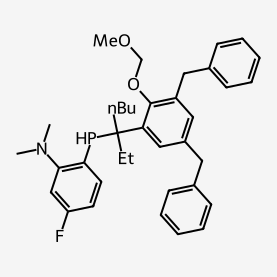 CCCCC(CC)(Pc1ccc(F)cc1N(C)C)c1cc(Cc2ccccc2)cc(Cc2ccccc2)c1OCOC